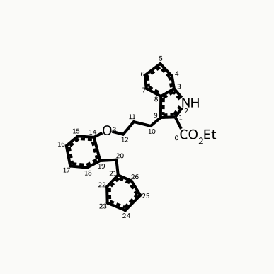 CCOC(=O)c1[nH]c2ccccc2c1CCCOc1ccccc1Cc1ccccc1